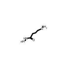 CCCNC(=O)CCCON